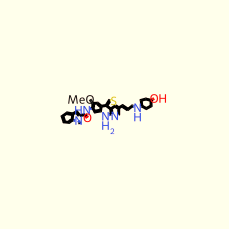 COc1cc(-c2csc3c(/C=C/CNC4CCC(O)CC4)cnc(N)c23)ccc1NC(=O)c1cc2ccccc2n1C